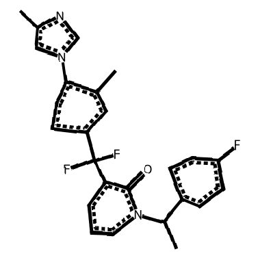 Cc1cn(-c2ccc(C(F)(F)c3cccn(C(C)c4ccc(F)cc4)c3=O)cc2C)cn1